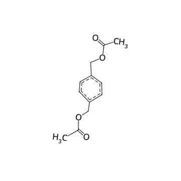 CC(=O)OCc1ccc(COC(C)=O)cc1